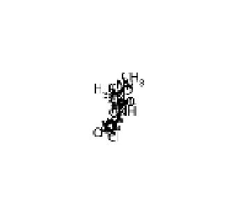 CC1=C(c2nc(C)no2)N2C(=O)[C@@H](NC(=O)Cc3ccc(Cl)c(Cl)c3)[C@H]2SC1